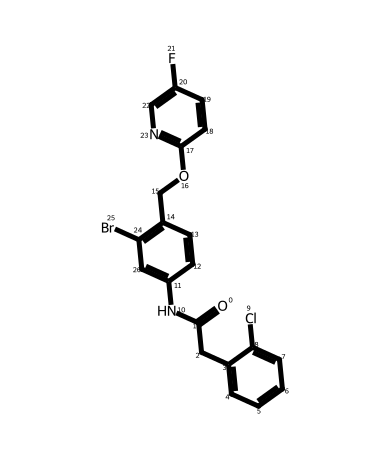 O=C(Cc1ccccc1Cl)Nc1ccc(COc2ccc(F)cn2)c(Br)c1